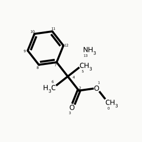 COC(=O)C(C)(C)c1ccccc1.N